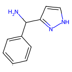 NC(c1cc[c]cc1)c1cc[nH]n1